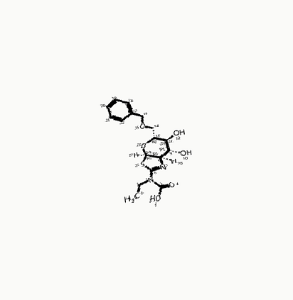 CCN(C(=O)O)C1=N[C@@H]2[C@@H](O)[C@H](O)[C@@H](COCc3ccccc3)O[C@@H]2S1